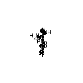 NC(=O)c1cc(-c2c[nH]c3ncccc23)cc(CNC(=O)c2cccn(Cc3ccc(F)c(F)c3)c2=O)n1